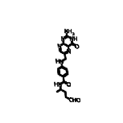 CC(CCC=O)NC(=O)c1ccc(NCC2=NC3C(=O)NC(N)=NC3N=C2)cc1